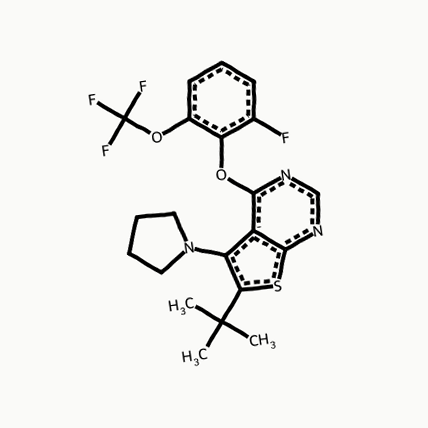 CC(C)(C)c1sc2ncnc(Oc3c(F)cccc3OC(F)(F)F)c2c1N1CCCC1